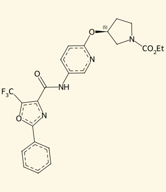 CCOC(=O)N1CC[C@H](Oc2ccc(NC(=O)c3nc(-c4ccccc4)oc3C(F)(F)F)cn2)C1